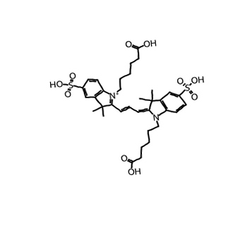 CC1(C)C(/C=C/C=C2/N(CCCCCC(=O)O)c3ccc(S(=O)(=O)O)cc3C2(C)C)=[N+](CCCCCC(=O)O)c2ccc(S(=O)(=O)O)cc21